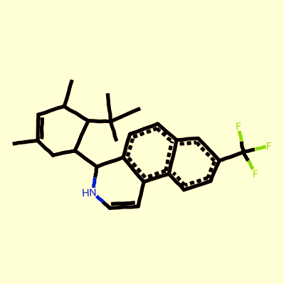 CC1=CC(C)C(C(C)(C)C)C(C2NC=Cc3c2ccc2cc(C(F)(F)F)ccc32)C1